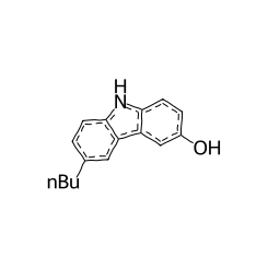 CCCCc1ccc2[nH]c3ccc(O)cc3c2c1